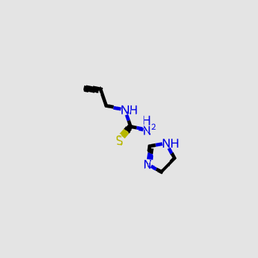 C1=NCCN1.C=CCNC(N)=S